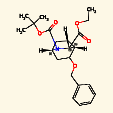 CCOC(=O)[C@@H]1[C@@H]2CC[C@@H](CC2OCc2ccccc2)N1C(=O)OC(C)(C)C